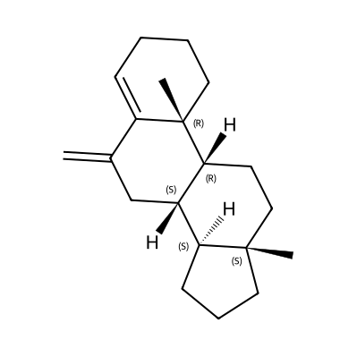 C=C1C[C@@H]2[C@@H](CC[C@]3(C)CCC[C@@H]23)[C@@]2(C)CCCC=C12